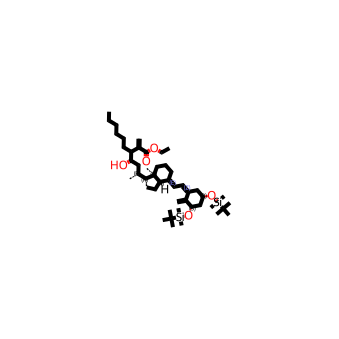 C=C(C(=O)OCC)C(CCCCCC)C(O)C[C@@H](C)[C@H]1CC[C@H]2/C(=C/C=C3/C[C@@H](O[Si](C)(C)C(C)(C)C)C[C@H](O[Si](C)(C)C(C)(C)C)C3=C)CCC[C@]12C